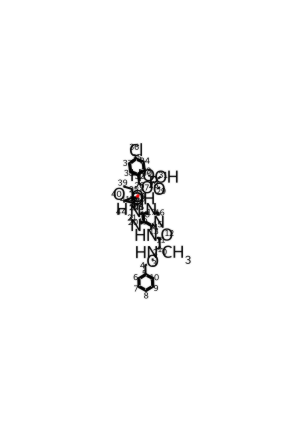 C[C@H](NOCc1ccccc1)C(=O)Nc1ncnc2c1ncn2[C@@H]1O[C@]2(C(OP(=O)(O)O)c3ccc(Cl)cc3)CO[C@@H]1[C@H]2O